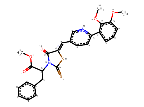 COC(=O)[C@H](Cc1ccccc1)N1C(=O)/C(=C/c2ccc(-c3cccc(OC)c3OC)nc2)SC1=S